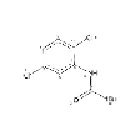 CC(C)(C)C(=O)Nc1cc(Cl)ccc1Cl